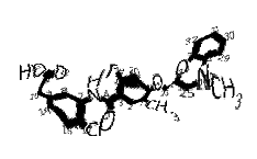 Cc1cc(C(=O)Nc2cc(CC(=O)O)ccc2Cl)c(F)cc1OC[C@@H]1CN(C)c2ccccc2O1